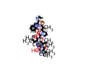 CC[C@H](C)[C@@H]([C@H](CC(=O)N1CCC[C@H]1[C@H](OC)[C@@H](C)C(=O)N[C@@H](Cc1ccccc1)c1nccs1)OC)N(C)C(=O)[C@@H](NC(=O)[C@H](C(C)C)N(C)C(=O)O)C(C)C